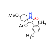 COC1CCC2(CC1)NC(=O)C(c1cc(C)ccc1C)=C2OC(C)=O